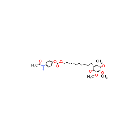 COC1=C(OC)C(=O)C(CCCCCCCCCCOC(=O)Oc2ccc(NC(C)=O)cc2)=C(C)C1=O